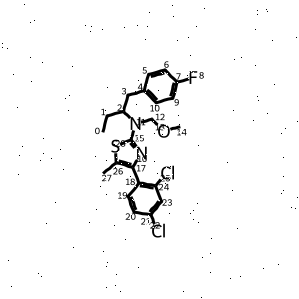 CCC(Cc1ccc(F)cc1)N(COC)c1nc(-c2ccc(Cl)cc2Cl)c(C)s1